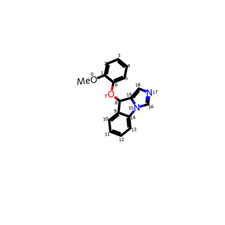 COc1ccccc1OC1c2ccccc2-n2cncc21